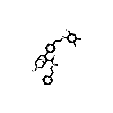 CC(=O)N1CC2CC(c3ccc(CCOc4cc(C)c(C)cc4Cl)cc3)=C(C(=O)N(C)CCc3ccccc3)C(C1)N2